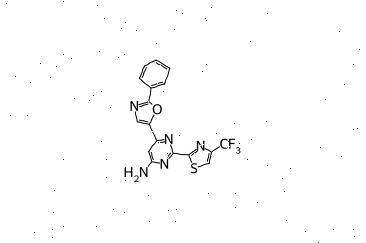 Nc1cc(-c2cnc(-c3ccccc3)o2)nc(-c2nc(C(F)(F)F)cs2)n1